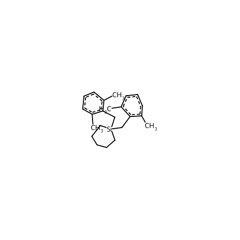 Cc1cccc(C)c1C[Si]1(Cc2c(C)cccc2C)CCCCC1